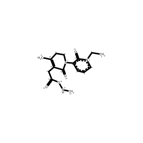 CCn1cccc(N2CCC(C)=C(CC(=O)ONC)C2=O)c1=O